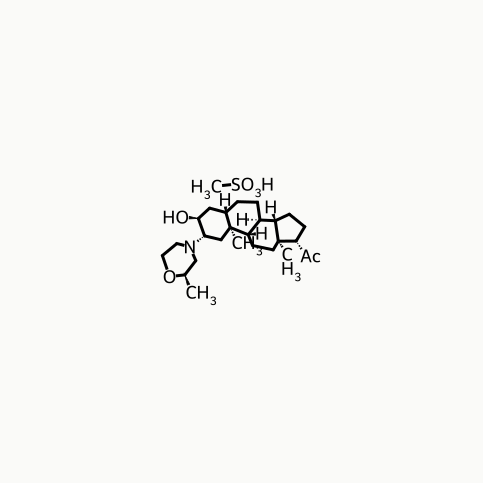 CC(=O)[C@H]1CC[C@H]2[C@@H]3CC[C@H]4C[C@H](O)[C@@H](N5CCO[C@H](C)C5)C[C@]4(C)[C@H]3CC[C@]12C.CS(=O)(=O)O